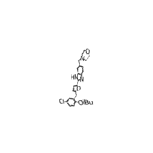 CC(C)COc1ccc(Cl)cc1Cc1ccc(-c2nc3ccc(CN4CCOCC4)cc3[nH]2)o1